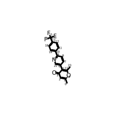 Cc1cc(=O)c(-c2ccc(-c3ccc(C(F)(F)F)cc3)nc2)c(C)o1